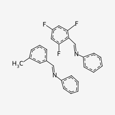 Cc1cccc(C=Nc2ccccc2)c1.Fc1cc(F)c(C=Nc2ccccc2)c(F)c1